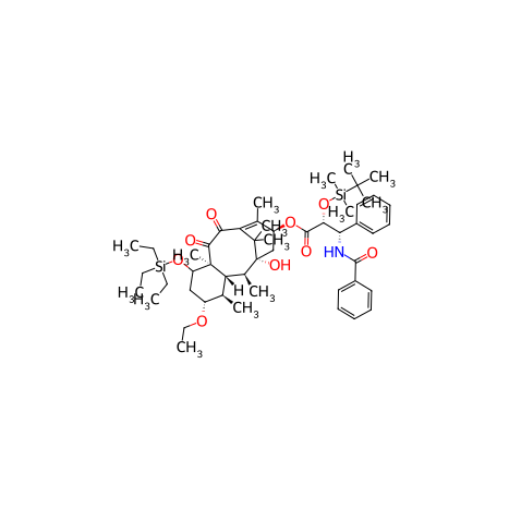 CCO[C@@H]1CC(O[Si](CC)(CC)CC)[C@@]2(C)C(=O)C(=O)C3=C(C)[C@@H](OC(=O)[C@H](O[Si](C)(C)C(C)(C)C)[C@@H](NC(=O)c4ccccc4)c4ccccc4)C[C@@](O)([C@@H](C)[C@@H]2[C@H]1C)C3(C)C